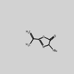 C=C(C)C1=NC(CCCC)C(=O)O1